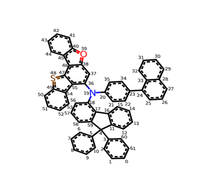 c1ccc(C2(c3ccccc3)c3ccccc3-c3c(N(c4ccc(-c5cccc6ccccc56)cc4)c4cc5oc6ccccc6c5c5sc6ccccc6c45)cccc32)cc1